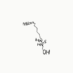 CCCCCCCCCCCCCCCCNC(=S)NCCO